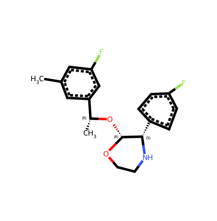 Cc1cc(F)cc([C@@H](C)O[C@H]2OCCN[C@H]2c2ccc(F)cc2)c1